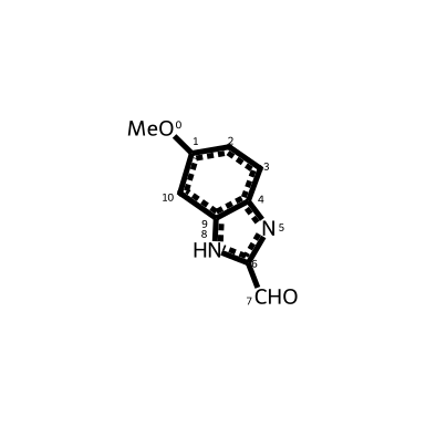 COc1ccc2nc(C=O)[nH]c2c1